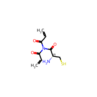 C=CC(=O)N(C(=O)C=C)C(=O)[C@@H](N)CS